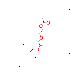 CCOC(C)COCCOC(C)=O